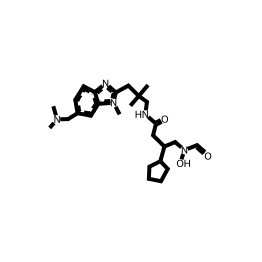 CN(C)Cc1ccc2nc(CC(C)(C)CNC(=O)CC(CN(O)C=O)C3CCCC3)n(C)c2c1